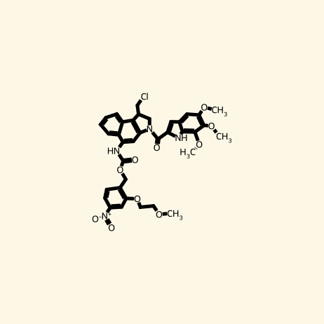 COCCOc1cc([N+](=O)[O-])ccc1COC(=O)Nc1cc2c(c3ccccc13)C(CCl)CN2C(=O)c1cc2cc(OC)c(OC)c(OC)c2[nH]1